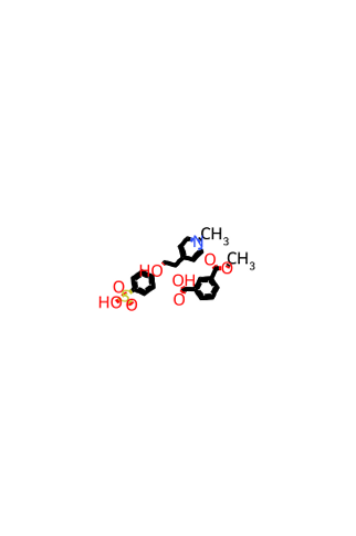 CN1C=CC(CCO)=CC1.COC(=O)c1cccc(C(=O)O)c1.O=S(=O)(O)c1ccccc1